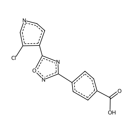 O=C(O)c1ccc(-c2noc(-c3ccncc3Cl)n2)cc1